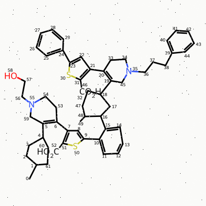 CC1CCC(C2=C(c3cc(-c4ccccc4C4CC(C5=C(c6cc(-c7ccccc7)sc6C(=O)O)CCN(CCCc6ccccc6)C5)CCC4C)sc3C(=O)O)CCN(CCO)C2)CC1